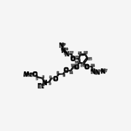 CCN(CCOC)CCOCCOCCOc1c(OCN=[N+]=[N-])cccc1OCN=[N+]=[N-]